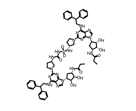 CCC(=O)N[C@H]1C[C@@H](n2cnc3c(NCC(c4ccccc4)c4ccccc4)nc(N4CC[C@@H](NC(=O)NS(=O)(=O)N[C@@H]5CCN(c6nc(NCC(c7ccccc7)c7ccccc7)c7ncn([C@@H]8C[C@H](NC(=O)CC)[C@@H](O)[C@H]8O)c7n6)C5)C4)nc32)[C@H](O)[C@@H]1O